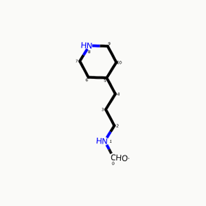 O=[C]NCCCC1CCNCC1